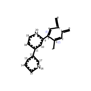 C=C/C=C(C)\C(=C/C=C)c1cc(-c2cccnc2)ccn1